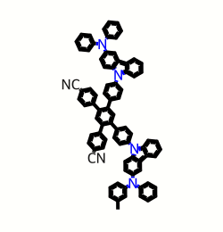 Cc1cccc(N(c2ccccc2)c2ccc3c(c2)c2ccccc2n3-c2ccc(-c3cc(-c4ccc(-n5c6ccccc6c6cc(N(c7ccccc7)c7ccccc7)ccc65)cc4)c(-c4ccc(C#N)cc4)cc3-c3ccc(C#N)cc3)cc2)c1